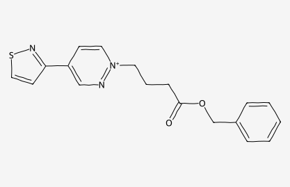 O=C(CCC[n+]1ccc(-c2ccsn2)cn1)OCc1ccccc1